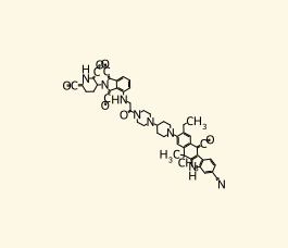 CCc1cc2c(cc1N1CCC(N3CCN(C(=O)CNc4cccc5c(=C=O)n(C6CCC(=C=O)NC6=C=O)c(=C=O)c45)CC3)CC1)C(C)(C)c1[nH]c3cc(C#N)ccc3c1C2=C=O